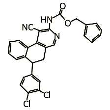 N#Cc1c(NC(=O)OCc2ccccc2)ncc2c1-c1ccccc1C(c1ccc(Cl)c(Cl)c1)C2